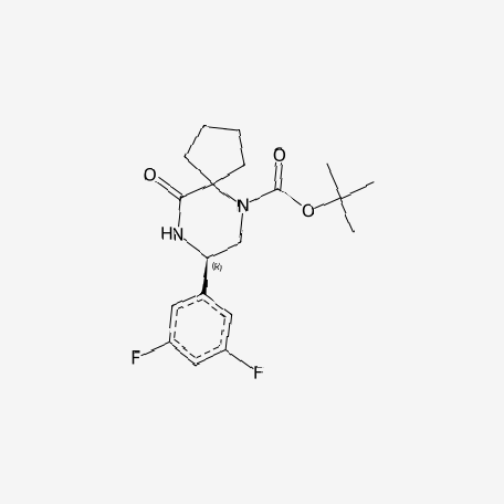 CC(C)(C)OC(=O)N1C[C@@H](c2cc(F)cc(F)c2)NC(=O)C12CCCC2